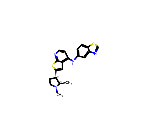 C[C@@H]1[C@H](c2cc3c(Nc4ccc5scnc5c4)ccnc3s2)CCN1C